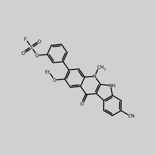 CCOc1cc2c(=O)c3c4ccc(C#N)cc4[nH]c3n(C)c2cc1-c1cccc(OS(=O)(=O)F)c1